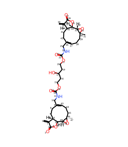 C=C1C(=O)O[C@H]2[C@H]1CC/C(CNC(=O)OCCC(O)CCOC(=O)NC/C1=C/CC[C@@]3(C)O[C@H]3[C@H]3OC(=O)C(=C)[C@@H]3CC1)=C\CC[C@@]1(C)O[C@@H]21